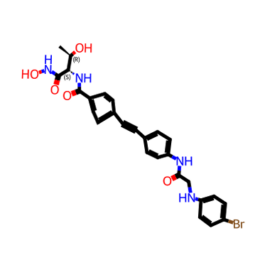 C[C@@H](O)[C@H](NC(=O)c1ccc(C#Cc2ccc(NC(=O)CNc3ccc(Br)cc3)cc2)cc1)C(=O)NO